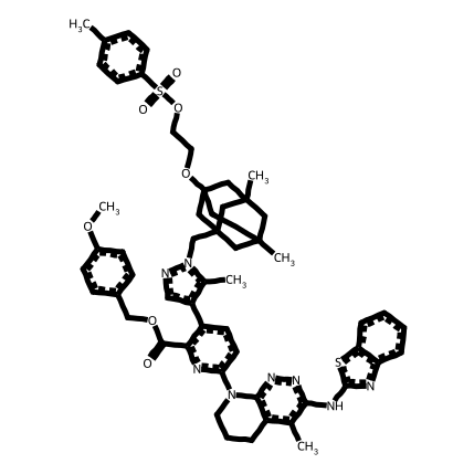 COc1ccc(COC(=O)c2nc(N3CCCc4c3nnc(Nc3nc5ccccc5s3)c4C)ccc2-c2cnn(CC34CC5(C)CC(C)(C3)CC(OCCOS(=O)(=O)c3ccc(C)cc3)(C5)C4)c2C)cc1